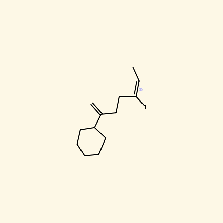 C=C(CC/C(I)=C\C)C1CCCCC1